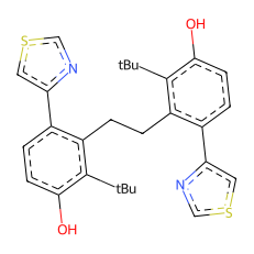 CC(C)(C)c1c(O)ccc(-c2cscn2)c1CCc1c(-c2cscn2)ccc(O)c1C(C)(C)C